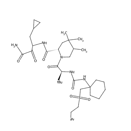 CC(C)CCS(=O)(=O)CC1(NC(=O)N[C@H](C(=O)N2CC(C)C(C)(C)C[C@H]2C(=O)NC(CC2CC2)C(=O)C(N)=O)C(C)(C)C)CCCCC1